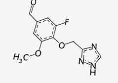 COc1cc(C=O)cc(F)c1OCc1nc[nH]n1